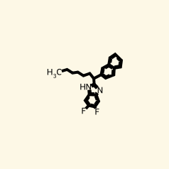 CCCCCCC(c1ccc2ccccc2c1)c1nc2cc(F)c(F)cc2[nH]1